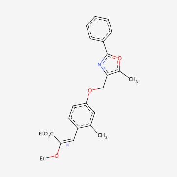 CCOC(=O)/C(=C\c1ccc(OCc2nc(-c3ccccc3)oc2C)cc1C)OCC